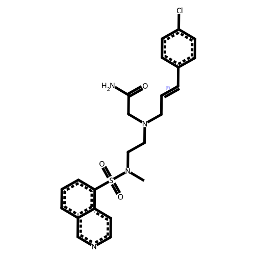 CN(CCN(C/C=C/c1ccc(Cl)cc1)CC(N)=O)S(=O)(=O)c1cccc2cnccc12